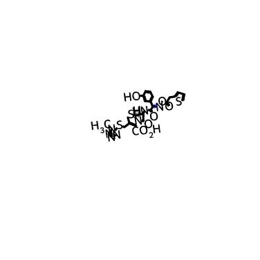 Cn1nnnc1SCC1=C(C(=O)O)N2C(=O)C(NC(=O)/C(=N/OC(=O)Cc3cccs3)c3cccc(O)c3)[C@H]2SC1